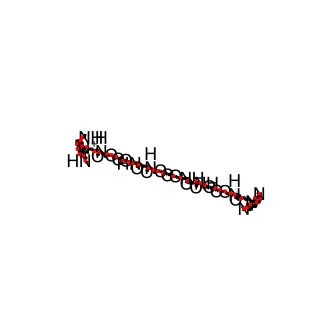 CNCc1ccc2cc3ccc(CNC)cc3[n+](CCCCCC(=O)NCCCOCCOCCOCCCNC(=O)CCCC(=O)NCCCOCCOCCOCCCNC(=O)CCCC(=O)NCCCOCCOCCOCCCNC(=O)CCCCC[n+]3c4cc(N(C)C)ccc4cc4ccc(N(C)C)cc43)c2c1